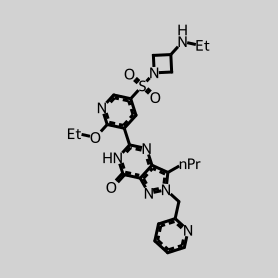 CCCc1c2nc(-c3cc(S(=O)(=O)N4CC(NCC)C4)cnc3OCC)[nH]c(=O)c2nn1Cc1ccccn1